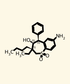 CCCC[C@]1(CC)CS(=O)(=O)c2ccc(N)cc2[C@H](c2ccccc2)[C@@H]1O